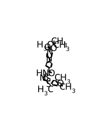 COc1cc(C)c(Sc2cnc(NC(=O)c3ccc(N4CCN(C(=O)OC(C)(C)C)CC4)cc3)s2)cc1C